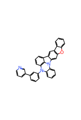 c1cncc(-c2cccc(N3c4ccccc4-n4c5cc6oc7ccccc7c6cc5c5cccc3c54)c2)c1